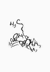 C=C(C)C(=O)OCCCCC.CCO.CCO